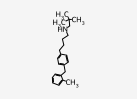 Cc1ccccc1Cc1ccc(CCCCNCC(C)(C)C)cc1